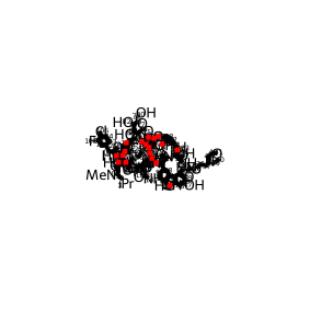 CN[C@H](CC(C)C)C(=O)N[C@H]1C(=O)N[C@@H](CC(N)=O)C(=O)N[C@H]2C(=O)N[C@H]3C(=O)N[C@H](C(=O)N[C@@H](C(=O)NOCCN4CCOCC4)c4cc(O)cc(O)c4-c4cc3ccc4O)[C@H](O)c3ccc(c(Cl)c3)Oc3cc2cc(c3O[C@@H]2O[C@H](CO)[C@@H](O)[C@H](O)[C@H]2O[C@H]2C[C@](C)(NCCn3ccc(NC(=O)Cc4ccc(Cl)c(F)c4)nc3=O)[C@H](O)[C@H](C)O2)Oc2ccc(cc2Cl)[C@H]1O